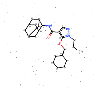 CCCn1ncc(C(=O)NC2C3CC4CC(C3)CC2C4)c1OCC1CCCCC1